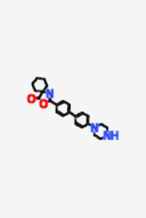 O=C1OC(c2ccc(-c3ccc(N4CCNCC4)cc3)cc2)=NC12CCCCC2